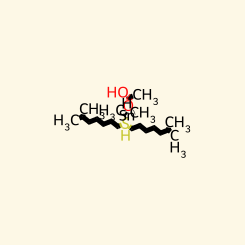 CC(=O)O.CC(C)CCCCC[SH](CCCCCC(C)C)[SnH]([CH3])[CH3]